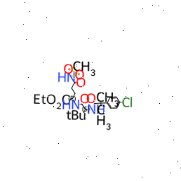 CCOC(=O)[C@@H](CCC(=O)NS(C)(=O)=O)NC(=O)[C@@H](NC(=O)C(C)(C)c1ccc(Cl)cc1)C(C)(C)C